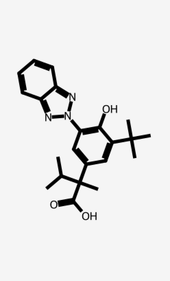 CC(C)C(C)(C(=O)O)c1cc(-n2nc3ccccc3n2)c(O)c(C(C)(C)C)c1